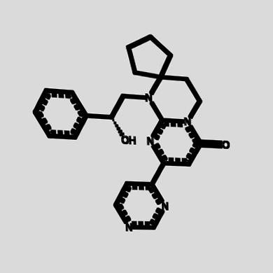 O=c1cc(-c2ccncn2)nc2n1CCC1(CCCC1)N2C[C@H](O)c1ccccc1